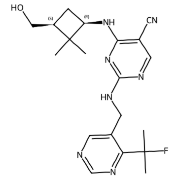 CC(C)(F)c1ncncc1CNc1ncc(C#N)c(N[C@@H]2C[C@H](CO)C2(C)C)n1